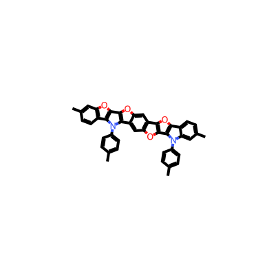 Cc1ccc(-n2c3cc(C)ccc3c3oc4c5cc6oc7c8oc9cc(C)ccc9c8n(-c8ccc(C)cc8)c7c6cc5oc4c32)cc1